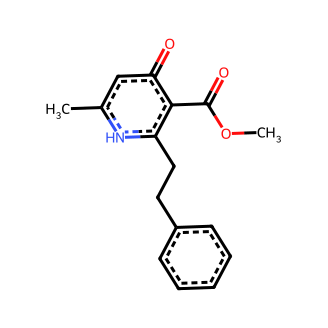 COC(=O)c1c(CCc2ccccc2)[nH]c(C)cc1=O